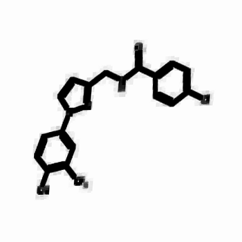 N#Cc1ccc(-n2ccc(CNC(=O)c3ccc(Cl)cc3)n2)cc1C(F)(F)F